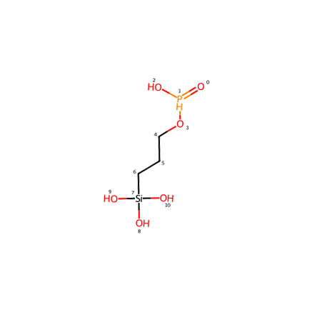 O=[PH](O)OCCC[Si](O)(O)O